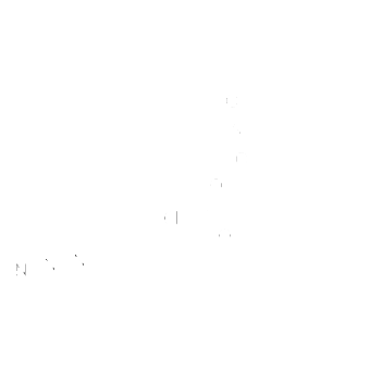 Cc1ccc(S(=O)(=O)CC(CCCCCN=[N+]=[N-])OC(=O)Cl)cc1